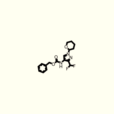 O=C(Nc1cn(C2CCCCO2)nc1C(F)F)OCc1ccccc1